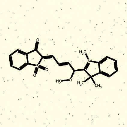 C[N+]1=C(C(/C=C/C=C2/C(=O)c3ccccc3S2(=O)=O)OO)C(C)(C)c2ccccc21